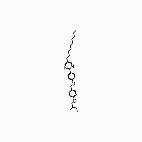 CCCCCCCCCCc1cnc(-c2ccc(OCc3ccc(OCC(C)CC)cc3)cc2)nc1